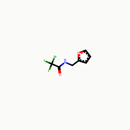 O=C(NCc1ccco1)C(F)(F)Br